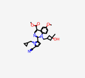 COC(=O)C1=CN=C(c2ccc(C#N)n2CC2CC2)N(CC2CC(C)(O)C2)c2ccc(OC)cc21